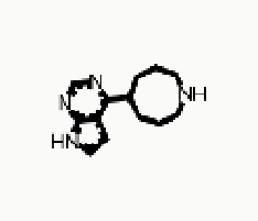 c1nc(C2CCCNCCC2)c2cc[nH]c2n1